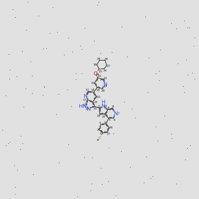 Fc1ccc(-c2cncc3[nH]c(-c4n[nH]c5ncc(-c6cncc(OC7CCCCC7)c6)cc45)cc23)cc1